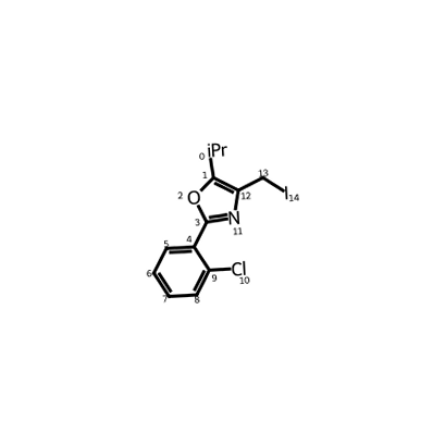 CC(C)c1oc(-c2ccccc2Cl)nc1CI